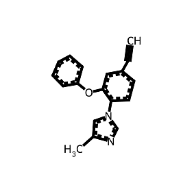 C#Cc1ccc(-n2cnc(C)c2)c(Oc2ccccc2)c1